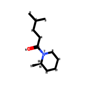 CC(C)CCC(=O)N1CCCC[C@H]1C